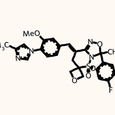 COc1cc(/C=C2\CC3(COC3)S(=O)(=O)N3C2=NOC3(C)c2ccc(F)cc2)ccc1-n1cnc(C)c1